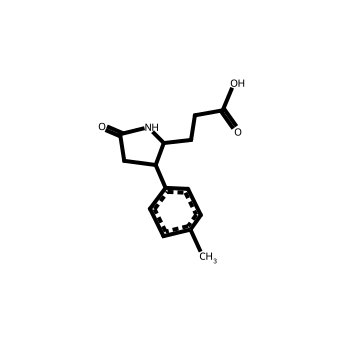 Cc1ccc(C2CC(=O)NC2CCC(=O)O)cc1